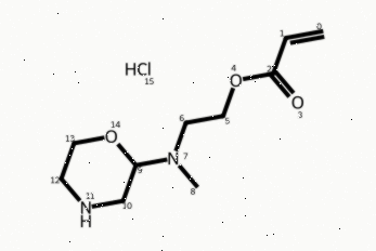 C=CC(=O)OCCN(C)C1CNCCO1.Cl